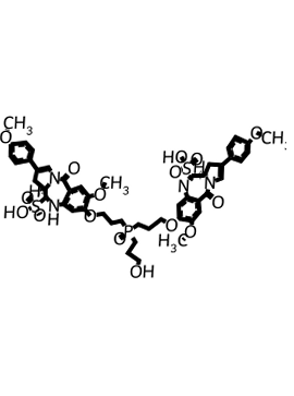 COc1ccc(C2=CN3C(=O)c4cc(OC)c(OCCCP(=O)(CCCO)CCCOc5cc6c(cc5OC)C(=O)N5C=C(c7ccc(OC)cc7)C[C@H]5C(S(=O)(=O)O)N6)cc4N=C(S(=O)(=O)O)[C@@H]3C2)cc1